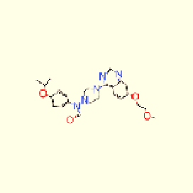 COCCOc1ccc2c(N3CCN(N(C=O)c4ccc(OC(C)C)cc4)CC3)ncnc2c1